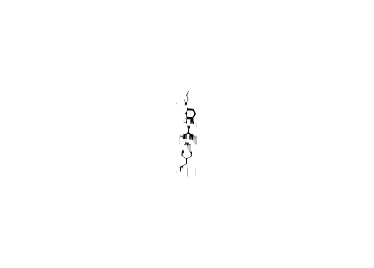 CCOC(=O)c1ccc2nc(-c3cnc(N4CCC(CCO)CC4)nc3)sc2c1